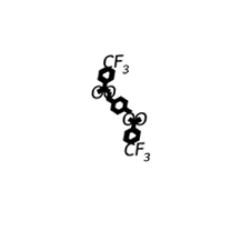 O=C(OCC1CCC(COC(=O)c2ccc(C(F)(F)F)cc2)CC1)c1ccc(C(F)(F)F)cc1